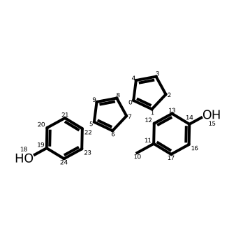 C1=CCC=C1.C1=CCC=C1.Cc1ccc(O)cc1.Oc1ccccc1